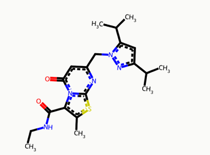 CCNC(=O)c1c(C)sc2nc(Cn3nc(C(C)C)cc3C(C)C)cc(=O)n12